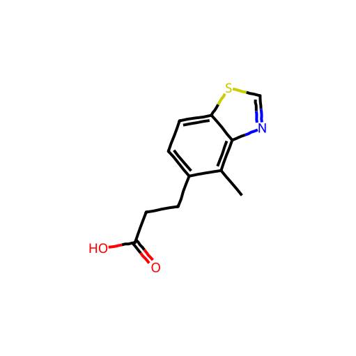 Cc1c(CCC(=O)O)ccc2scnc12